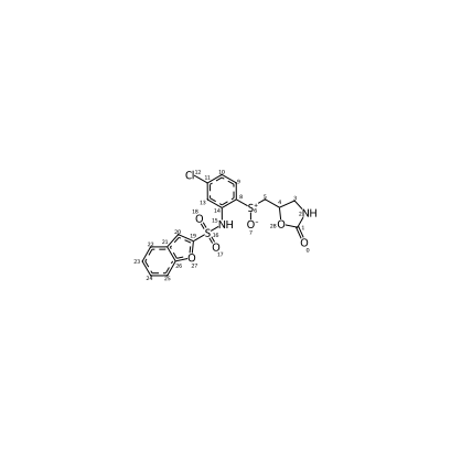 O=C1NCC(C[S+]([O-])c2ccc(Cl)cc2NS(=O)(=O)c2cc3ccccc3o2)O1